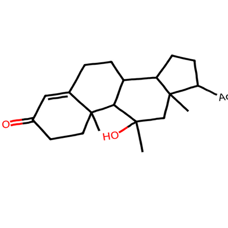 CC(=O)C1CCC2C3CCC4=CC(=O)CCC4(C)C3C(C)(O)CC12C